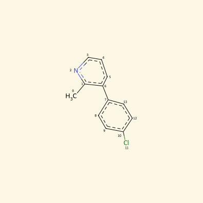 Cc1ncccc1-c1ccc(Cl)cc1